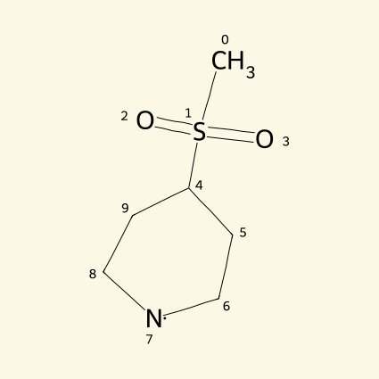 CS(=O)(=O)C1CC[N]CC1